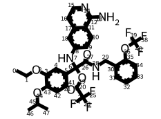 CCOc1cc(C(Nc2ccc3c(N)nccc3c2)(OC(=O)C(F)(F)F)C(=O)NCc2ccccc2OC(F)(F)F)ccc1OC(C)C